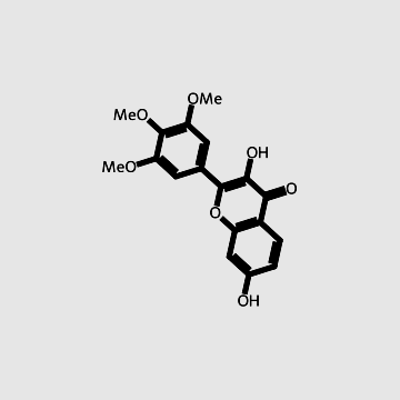 COc1cc(-c2oc3cc(O)ccc3c(=O)c2O)cc(OC)c1OC